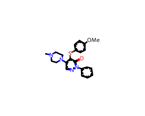 COc1ccc(Sc2c(N3CCN(C)CC3)cnn(-c3ccccc3)c2=O)cc1